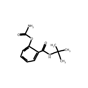 CC(C)(C)NC(=O)c1ccccc1OC(N)=O